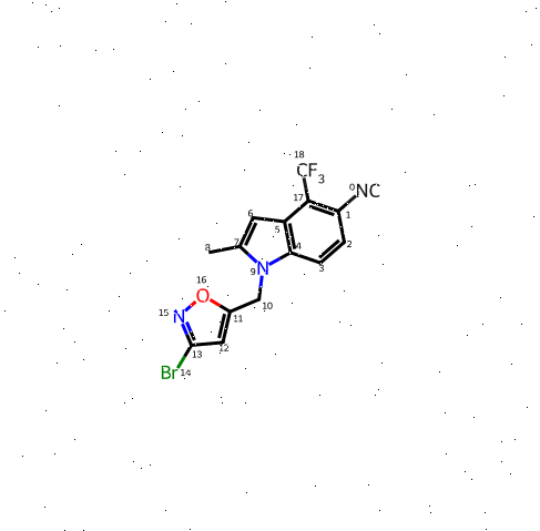 [C-]#[N+]c1ccc2c(cc(C)n2Cc2cc(Br)no2)c1C(F)(F)F